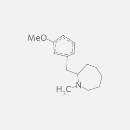 COc1cccc(CC2CCCCCN2C)c1